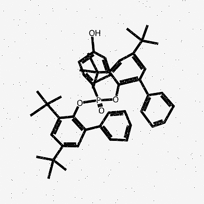 CC(C)(C)c1cc(-c2ccccc2)c(OP(=O)(Oc2c(-c3ccccc3)cc(C(C)(C)C)cc2C(C)(C)C)c2ccc(O)cc2)c(C(C)(C)C)c1